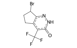 O=c1[nH]nc2c(c1C(F)(F)F)CCC2Br